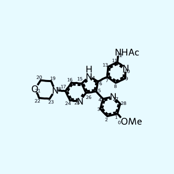 COc1ccc(-c2c(-c3ccnc(NC(C)=O)c3)[nH]c3cc(N4CCOCC4)cnc23)nc1